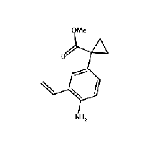 C=Cc1cc(C2(C(=O)OC)CC2)ccc1N